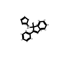 C[C]1([Zr][C]2=CC=CC2)C(c2ccccc2)=Cc2ccccc21